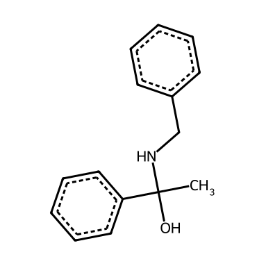 CC(O)(NCc1ccccc1)c1ccccc1